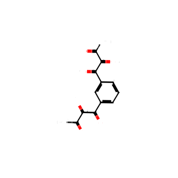 CC(C)(C)C(=O)C(=O)C(=O)c1cccc(C(=O)C(=O)C(=O)C(C)(C)C)c1